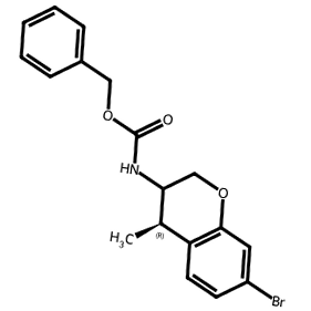 C[C@@H]1c2ccc(Br)cc2OCC1NC(=O)OCc1ccccc1